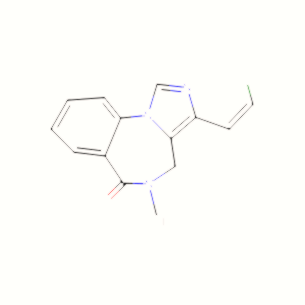 CN1Cc2c(/C=C\Cl)ncn2-c2ccccc2C1=O